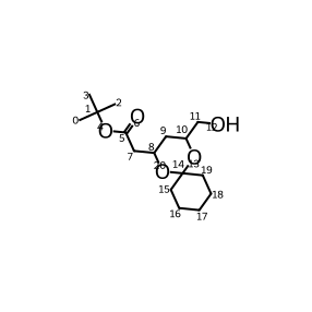 CC(C)(C)OC(=O)CC1CC(CO)OC2(CCCCC2)O1